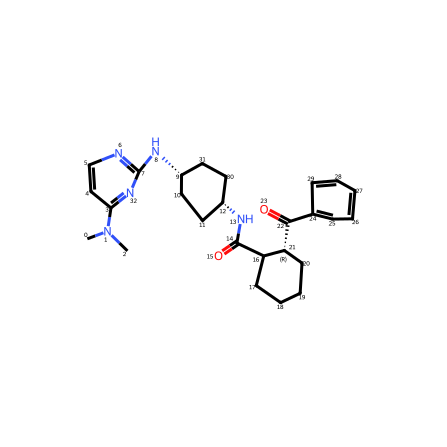 CN(C)c1ccnc(N[C@H]2CC[C@@H](NC(=O)C3CCCC[C@H]3C(=O)c3ccccc3)CC2)n1